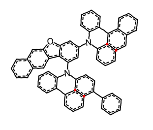 c1ccc(-c2ccc(N(c3ccccc3-c3ccccc3)c3cc(N(c4ccccc4)c4ccccc4-c4cccc5ccccc45)cc4oc5cc6ccccc6cc5c34)cc2)cc1